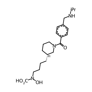 CC(C)NCc1ccc(C(=O)N2CCC[C@@H](CCCCN(O)C(=O)O)C2)cc1